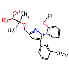 COc1cccc(-c2cc(COC(C)(C)C(O)O)nn2-c2ccccc2OC(C)C)c1